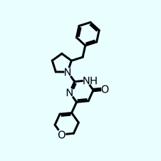 O=c1cc(C2=CCOCC2)nc(N2CCCC2Cc2ccccc2)[nH]1